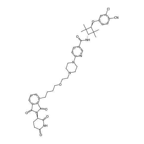 CC1(C)[C@H](NC(=O)c2ccc(N3CCN(CCOCCCCc4cccc5c4C(=O)N([C@@H]4CCC(=O)NC4=O)C5=O)CC3)nc2)C(C)(C)[C@H]1Oc1ccc(C#N)c(Cl)c1